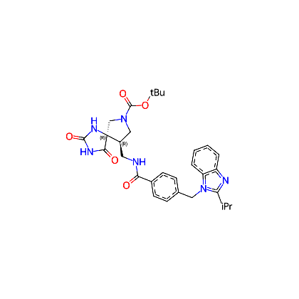 CC(C)c1nc2ccccc2n1Cc1ccc(C(=O)NC[C@@H]2CN(C(=O)OC(C)(C)C)C[C@]23NC(=O)NC3=O)cc1